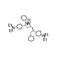 CCN(CC)c1ccc(C(=CC2CC(c3ccc(N(CC)CC)cc3)N(c3ccccc3)N2)Cc2ccccc2)cc1